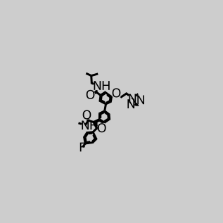 CNC(=O)c1c(-c2ccc(F)cc2)oc2ccc(-c3cc(OCCn4cncn4)cc(C(=O)NCC(C)C)c3)cc12